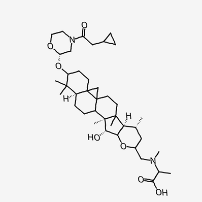 CC(C(=O)O)N(C)CC1C[C@@H](C)[C@H]2C(O1)[C@H](O)[C@@]1(C)C3CC[C@H]4C(C)(C)C(O[C@H]5CN(C(=O)CC6CC6)CCO5)CCC45CC35CCC21C